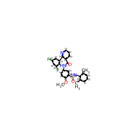 COc1ccc(NC(=O)c2cccnc2-c2cc(F)cc(F)c2)cc1[S+]([O-])Nc1c(C)cccc1C